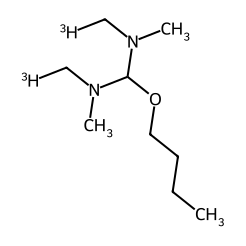 [3H]CN(C)C(OCCCC)N(C)C[3H]